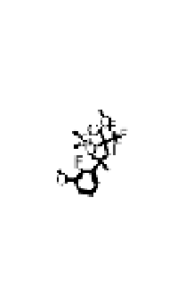 COC(=O)C(CC(C)(C)c1cccc(OC)c1F)(O[Si](C)(C)C)C(F)(F)F